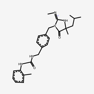 C/N=C1/NC(C)(CC(C)C)C(=O)N1Cc1ccc(CNC(=O)Nc2ccccc2C)cc1